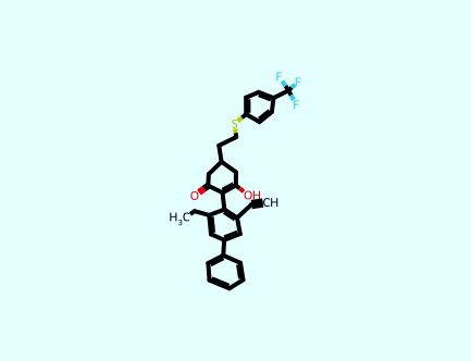 C#Cc1cc(-c2ccccc2)cc(CC)c1C1=C(O)CC(CCSc2ccc(C(F)(F)F)cc2)CC1=O